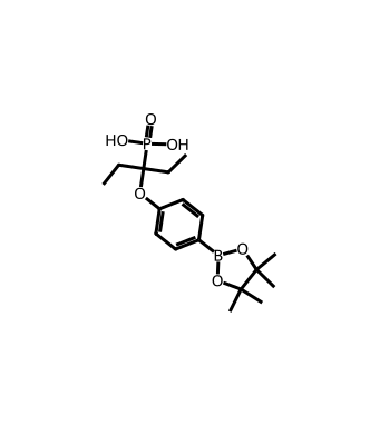 CCC(CC)(Oc1ccc(B2OC(C)(C)C(C)(C)O2)cc1)P(=O)(O)O